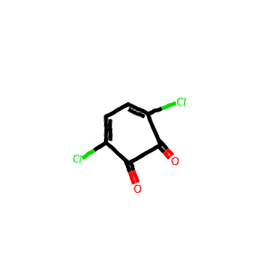 O=C1C(=O)C(Cl)=CC=C1Cl